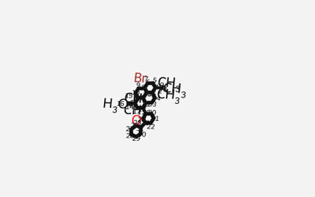 CC(C)(C)c1cc(Br)c2ccc3c(C(C)(C)C)cc(-c4cccc5c4oc4ccccc45)c4ccc1c2c43